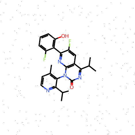 Cc1ccnc(C(C)C)c1-n1c(=O)nc(C(C)C)c2cc(F)c(-c3c(O)cccc3F)nc21